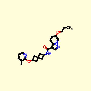 Cc1cccnc1OC1CC2(CC(NC(=O)c3cnn4cc(OCCC(F)(F)F)ccc34)C2)C1